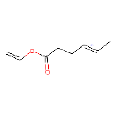 C=COC(=O)CC/C=C/C